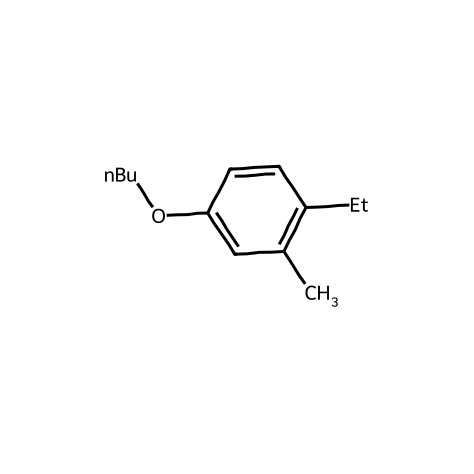 CCCCOc1ccc(CC)c(C)c1